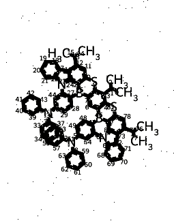 CC(C)c1c2c(cc3c1Sc1cc(C(C)C)c4c5ccccc5n5c4c1B3c1ccc(N(c3ccccc3)c3ccccc3)cc1-5)B1c3ccc(N(c4ccccc4)c4ccccc4)cc3-n3c4ccccc4c4c(C(C)C)cc(c1c43)S2